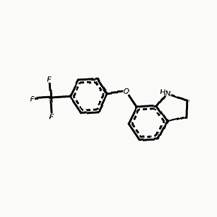 FC(F)(F)c1ccc(Oc2cccc3c2NCC3)cc1